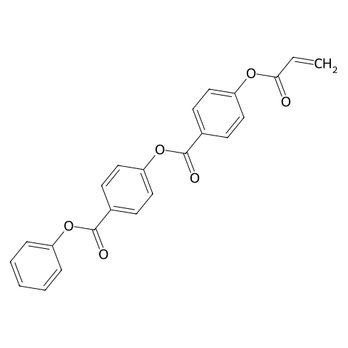 C=CC(=O)Oc1ccc(C(=O)Oc2ccc(C(=O)Oc3ccccc3)cc2)cc1